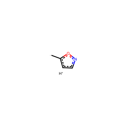 [CH2]c1ccno1.[H+]